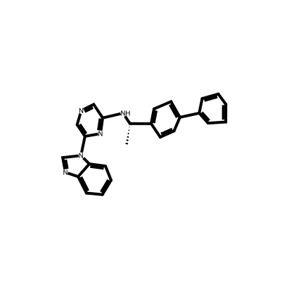 C[C@H](Nc1cncc(-n2cnc3ccccc32)n1)c1ccc(-c2ccccc2)cc1